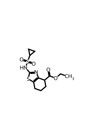 CCOC(=O)C1CCCc2sc(NS(=O)(=O)C3CC3)nc21